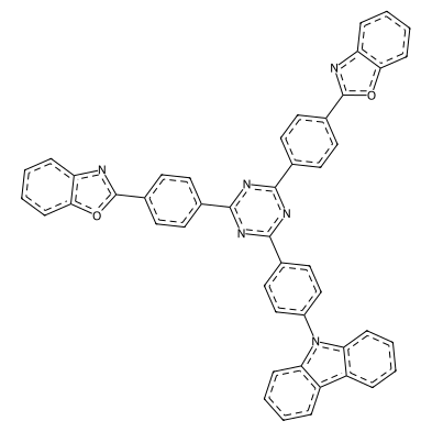 c1ccc2oc(-c3ccc(-c4nc(-c5ccc(-c6nc7ccccc7o6)cc5)nc(-c5ccc(-n6c7ccccc7c7ccccc76)cc5)n4)cc3)nc2c1